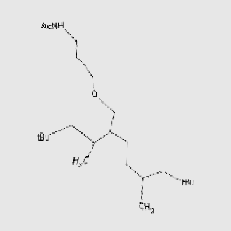 CC(=O)NCCCOCC(CCC(C)CC(C)(C)C)C(C)CC(C)(C)C